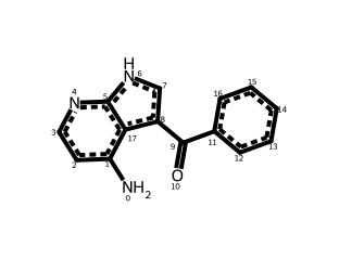 Nc1ccnc2[nH]cc(C(=O)c3ccccc3)c12